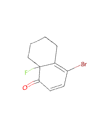 O=C1C=CC(Br)=C2CCCCC12F